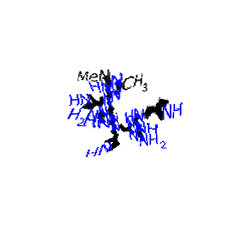 CNC1=NC(C)N=C(N(CCc2cc[nH]c2)CC2N=C(N)NC(N(CCc3cc[nH]c3)CCC3N=C(N)NC(NCCc4cc[nH]c4)=N3)=N2)N1